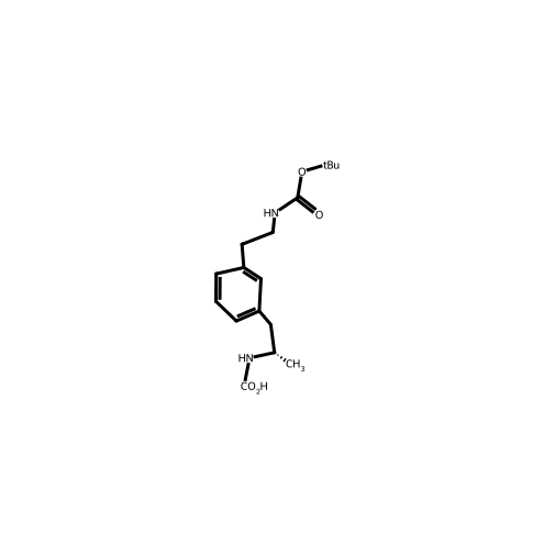 C[C@@H](Cc1cccc(CCNC(=O)OC(C)(C)C)c1)NC(=O)O